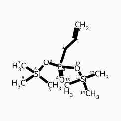 C=CCP(=O)(O[Si](C)(C)C)O[Si](C)(C)C